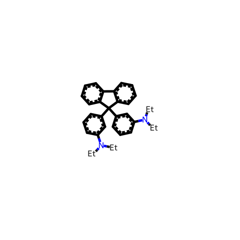 CCN(CC)c1cccc(C2(c3cccc(N(CC)CC)c3)c3ccccc3-c3ccccc32)c1